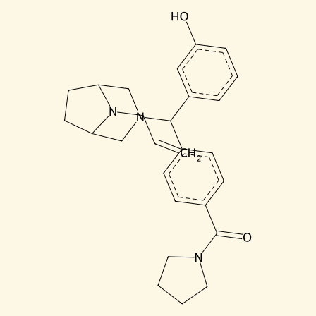 C=CCN1C2CCC1CN(C(c1ccc(C(=O)N3CCCC3)cc1)c1cccc(O)c1)C2